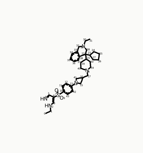 CCN/C=C(\C=N)S(=O)(=O)c1ccc(N2CC(CN3CCC(C4(C5CCCC5)CN(CC)Cc5ccccc54)CC3)C2)cc1